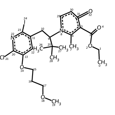 CCOC(=O)c1c(C)n(C(Cc2cc(OCCCOC)c(Cl)nc2I)C(C)(C)C)ccc1=O